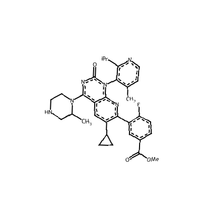 COC(=O)c1ccc(F)c(-c2nc3c(cc2C2CC2)c(N2CCNCC2C)nc(=O)n3-c2c(C)ccnc2C(C)C)c1